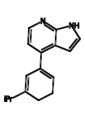 CC(C)C1=CC(c2ccnc3[nH]ccc23)=CCC1